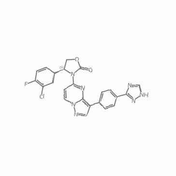 O=C1OC[C@H](C2C=CC(F)=C(Cl)C2)N1c1ccn2ncc(-c3ccc(-c4nc[nH]n4)cc3)c2n1